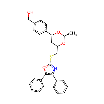 C[C@H]1OC(CSc2nc(-c3ccccc3)c(-c3ccccc3)o2)CC(c2ccc(CO)cc2)O1